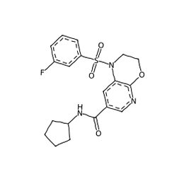 O=C(NC1CCCC1)c1cnc2c(c1)N(S(=O)(=O)c1cccc(F)c1)CCO2